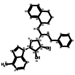 Nc1ncnc2c1ncn2[C@@H]1O[C@H](C(OCc2ccccc2)OC2CCCc3ccccc32)[C@@H](O)[C@H]1O